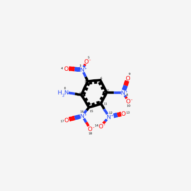 Nc1c([N+](=O)[O-])cc([N+](=O)[O-])c([N+](=O)[O-])c1[N+](=O)[O-]